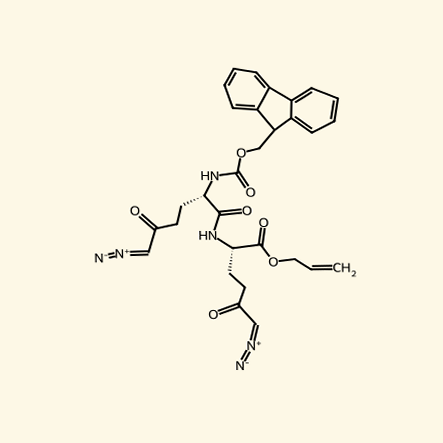 C=CCOC(=O)[C@H](CCC(=O)C=[N+]=[N-])NC(=O)[C@H](CCC(=O)C=[N+]=[N-])NC(=O)OCC1c2ccccc2-c2ccccc21